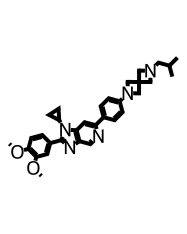 COc1ccc(-c2nc3cnc(-c4ccc(N5CC6(CN(CC(C)C)C6)C5)cc4)cc3n2C2CC2)cc1OC